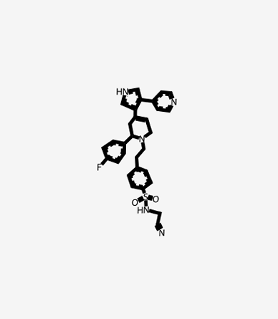 N#CCNS(=O)(=O)c1ccc(CCN2CC=C(c3c[nH]cc3-c3ccncc3)CC2c2ccc(F)cc2)cc1